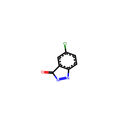 O=C1N=Nc2ccc(Cl)cc21